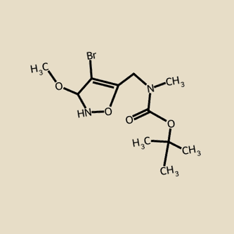 COC1NOC(CN(C)C(=O)OC(C)(C)C)=C1Br